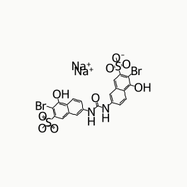 O=C(Nc1ccc2c(O)c(Br)c(S(=O)(=O)[O-])cc2c1)Nc1ccc2c(O)c(Br)c(S(=O)(=O)[O-])cc2c1.[Na+].[Na+]